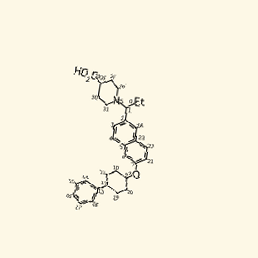 CCC(c1ccc2cc(OC3CCC(c4ccccc4)CC3)ccc2c1)N1CCC(C(=O)O)CC1